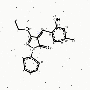 CCOC1=NN(c2ccccc2)C(=O)/C1=C\c1ccc(C)cc1O